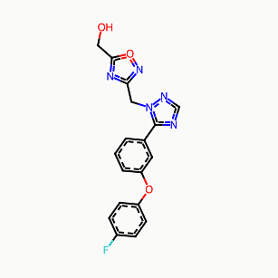 OCc1nc(Cn2ncnc2-c2cccc(Oc3ccc(F)cc3)c2)no1